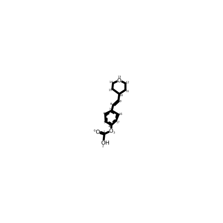 O=C(O)Oc1ccc(C=CC2CCOCC2)cc1